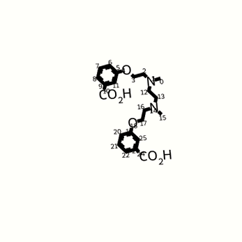 CN(CCOc1cccc(C(=O)O)c1)CCN(C)CCOc1cccc(C(=O)O)c1